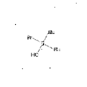 CCC(C)[Si](O)(C(C)C)C(C)CC